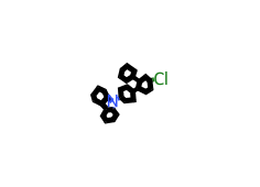 Clc1ccc(-c2ccc(-n3c4ccccc4c4ccccc43)cc2)c(-c2ccccc2)c1